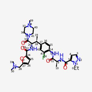 CCn1nccc1C(=O)N[C@@H](C)C(=O)Nc1ccc([C@H](C)[C@@H](NC(=O)c2ccc(CN(C)C)o2)C(=O)N2CCN(C)CC2)cc1F